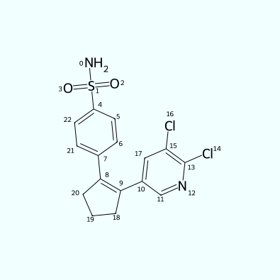 NS(=O)(=O)c1ccc(C2=C(c3cnc(Cl)c(Cl)c3)CCC2)cc1